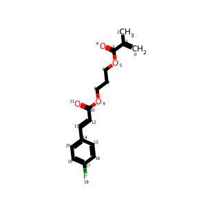 C=C(C)C(=O)OCCCOC(=O)/C=C/c1ccc(F)cc1